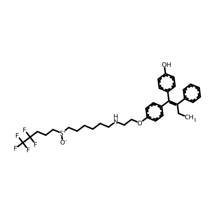 CCC(=C(c1ccc(O)cc1)c1ccc(OCCNCCCCCC[S+]([O-])CCCC(F)(F)C(F)(F)F)cc1)c1ccccc1